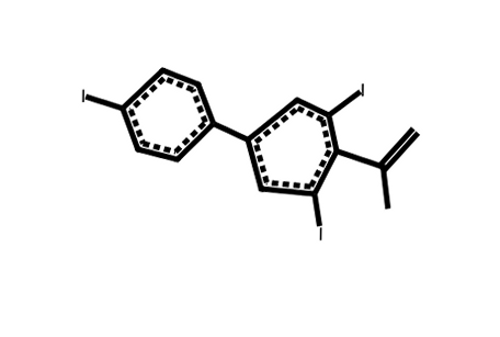 C=C(C)c1c(I)cc(-c2ccc(I)cc2)cc1I